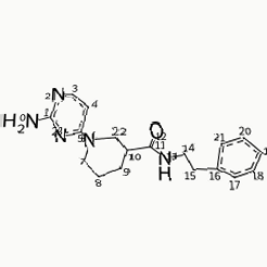 Nc1nccc(N2CCCC(C(=O)NCCc3ccccc3)C2)n1